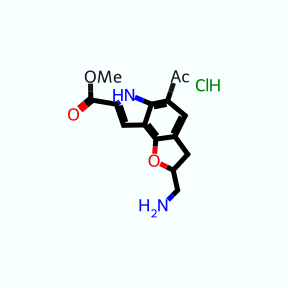 COC(=O)c1cc2c3c(cc(C(C)=O)c2[nH]1)CC(CN)O3.Cl